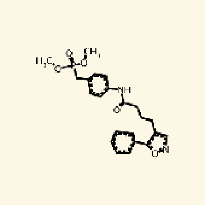 COP(=O)(Cc1ccc(NC(=O)CCCc2cnoc2-c2ccccc2)cc1)OC